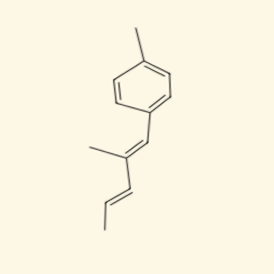 C/C=C/C(C)=C/c1ccc(C)cc1